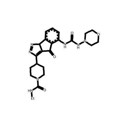 CCNC(=O)N1CCC(C2=C3C(=O)c4c(NC(=O)NN5CCOCC5)cccc4C3N=N2)CC1